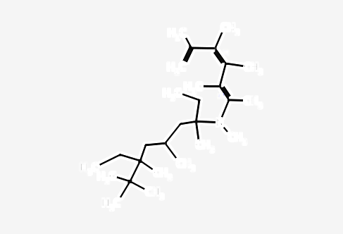 C=C(C)/C(C)=C(C)\C(C)=C(/C)N(C)C(C)(CC)CC(C)CC(C)(CC)C(C)(C)C